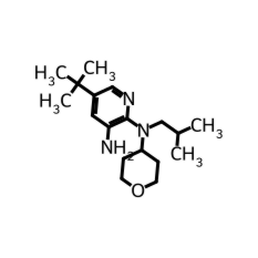 CC(C)CN(c1ncc(C(C)(C)C)cc1N)C1CCOCC1